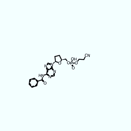 N#CCCOP(=O)(O)OC[C@@H]1CC[C@H](n2cnc3c(NC(=O)c4ccccc4)ncnc32)O1